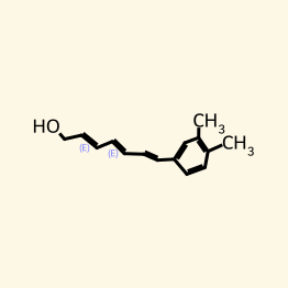 Cc1ccc(C=C/C=C/C=C/CO)cc1C